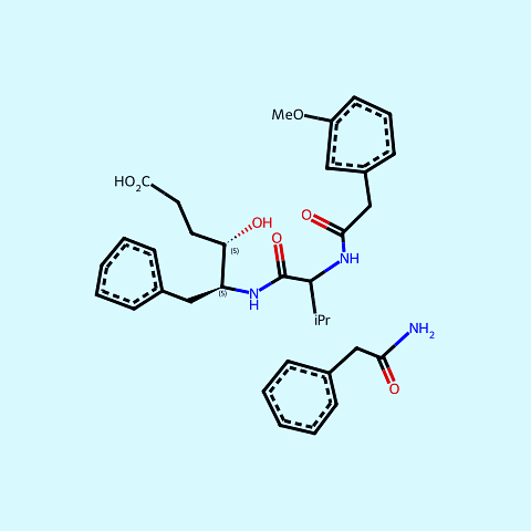 COc1cccc(CC(=O)NC(C(=O)N[C@@H](Cc2ccccc2)[C@@H](O)CCC(=O)O)C(C)C)c1.NC(=O)Cc1ccccc1